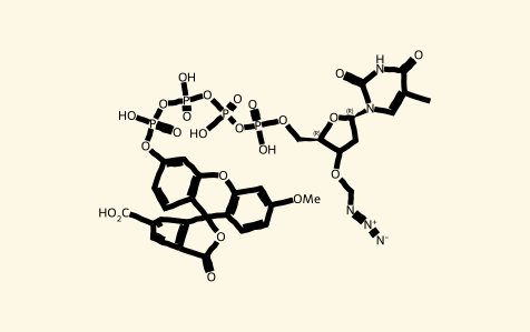 COc1ccc2c(c1)Oc1cc(OP(=O)(O)OP(=O)(O)OP(=O)(O)OP(=O)(O)OC[C@H]3O[C@@H](n4cc(C)c(=O)[nH]c4=O)CC3OCN=[N+]=[N-])ccc1C21OC(=O)c2ccc(C(=O)O)cc21